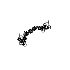 CC(=O)c1c(C)c2cnc(Nc3ccc(N4CCC(N5CCN(Cc6ccc7c(c6)CN(C6CCC(=O)NC6=O)C7=O)CC5)CC4)cn3)nc2n(C2CCCC2)c1=O